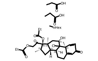 CCC(=O)O.CCC(=O)O.CCC(=O)OCC(=O)[C@@]1(OC(=O)CC)[C@@H](C)C[C@H]2[C@@H]3CCC4=CC(=O)C=C[C@]4(C)C3(Cl)[C@@H](O)C[C@@]21C.CCCCCCC